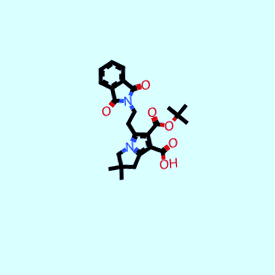 CC1(C)Cc2c(C(=O)O)c(C(=O)OC(C)(C)C)c(CCN3C(=O)c4ccccc4C3=O)n2C1